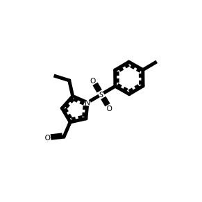 CCc1cc(C=O)cn1S(=O)(=O)c1ccc(C)cc1